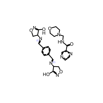 O=C(NCN1CCOCC1)c1cnccn1.OC1=NOCC1/N=C/c1ccc(/C=N/C2CON=C2O)cc1